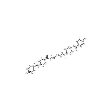 C/C(=C\c1ccc(NCCSSCCNc2ccc(/C=C(\C)c3cc[n+](C)cc3)cc2)cc1)c1cc[n+](C)cc1